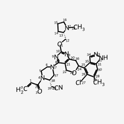 C=CC(=O)N1CCN(c2nc(OC[C@@H]3CCCN3C)nc3c2COC(c2c(Cl)c(C)cc4[nH]ncc24)C3)C[C@@H]1CC#N